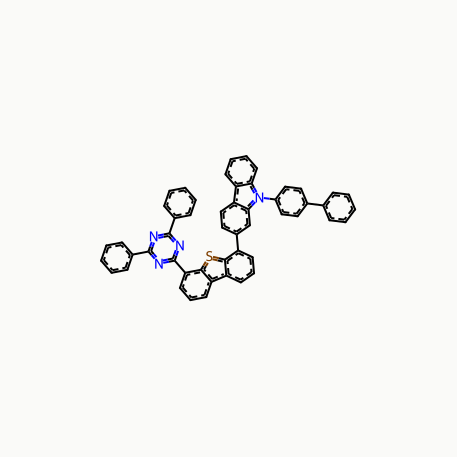 c1ccc(-c2ccc(-n3c4ccccc4c4ccc(-c5cccc6c5sc5c(-c7nc(-c8ccccc8)nc(-c8ccccc8)n7)cccc56)cc43)cc2)cc1